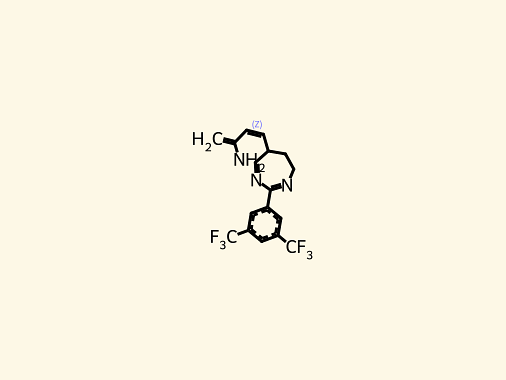 C=C(N)/C=C\C1C=NC(c2cc(C(F)(F)F)cc(C(F)(F)F)c2)=NCC1